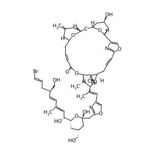 C=C1C[C@@H]2C[C@@H]3C[C@@H](O)C[C@@H](O3)c3coc(n3)/C=C/C[C@H]3O[C@@H](/C(C)=C/c4coc(C[C@]5(O)C[C@H](CO)C[C@H]([C@H](O)/C=C(C)/C=C/[C@H](CO)C/C=C/Br)O5)n4)[C@H](C)[C@@H](OC(=O)/C=C\C[C@@H](C1)O2)[C@H]3C